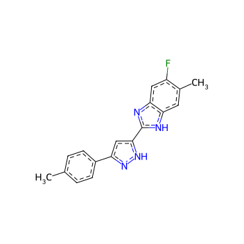 Cc1ccc(-c2cc(-c3nc4cc(F)c(C)cc4[nH]3)[nH]n2)cc1